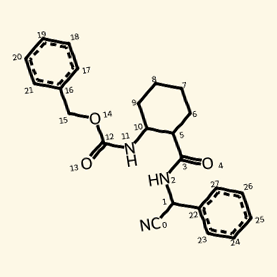 N#CC(NC(=O)C1CCCCC1NC(=O)OCc1ccccc1)c1ccccc1